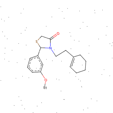 CCOc1cccc(C2SCC(=O)N2CCC2=CCCCC2)c1